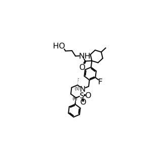 CC1CCC(C(=O)NCCCO)(c2ccc(CN3[C@@H](C)CC[C@H](c4ccccc4)S3(=O)=O)c(F)c2)CC1